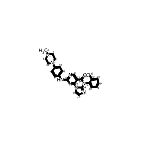 CN1CCN(c2ccc(Nc3ncc4c(=O)n(-c5ccccc5Cl)c5nccn5c4n3)cc2)CC1